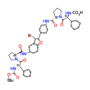 CC(C)(C)OC(=O)N[C@H](C(=O)N1CCC[C@H]1C(=O)Nc1ccc2oc(-c3ccc(NC(=O)[C@@H]4CCCN4C(=O)[C@@H](NC(=O)O)c4ccccc4)cc3)c(Br)c2c1)c1ccccc1